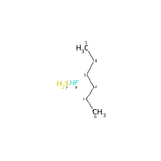 CCCCCC.F.S